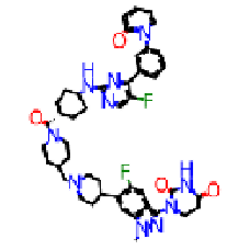 Cn1nc(N2CCC(=O)NC2=O)c2cc(F)c(C3CCN(CC4CCN(C(=O)[C@H]5CC[C@H](Nc6ncc(F)c(-c7cccc(-n8ccccc8=O)c7)n6)CC5)CC4)CC3)cc21